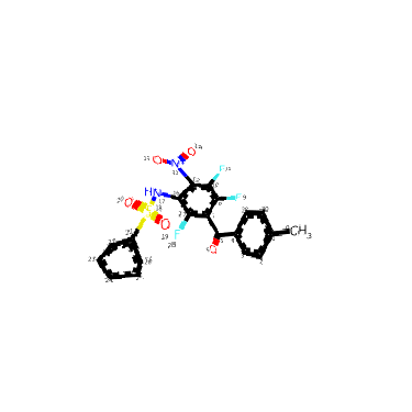 Cc1ccc(C(=O)c2c(F)c(F)c([N+](=O)[O-])c(NS(=O)(=O)c3ccccc3)c2F)cc1